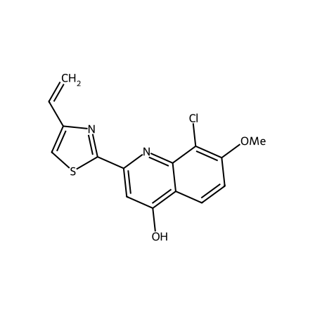 C=Cc1csc(-c2cc(O)c3ccc(OC)c(Cl)c3n2)n1